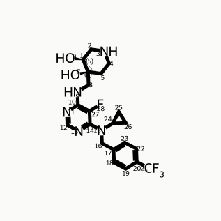 O[C@H]1CNCC[C@]1(O)CNc1ncnc(N(Cc2ccc(C(F)(F)F)cc2)C2CC2)c1F